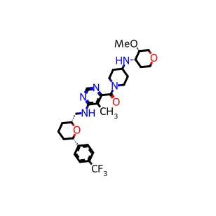 CO[C@@H]1COCC[C@@H]1NC1CCN(C(=O)c2ncnc(NC[C@H]3CCC[C@@H](c4ccc(C(F)(F)F)cc4)O3)c2C)CC1